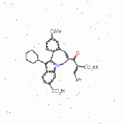 CCOC(=O)C(=CC(C)C)C(=O)C1=Cc2cc(OC)ccc2-c2c(C3CCCCC3)c3ccc(C(=O)O)cc3n2C1